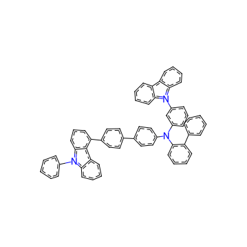 c1ccc(-c2ccccc2N(c2ccc(-c3ccc(-c4cccc5c4c4ccccc4n5-c4ccccc4)cc3)cc2)c2cccc(-n3c4ccccc4c4ccccc43)c2)cc1